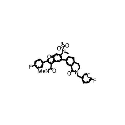 CNC(=O)c1c(-c2ccc(F)cc2)oc2cc(N(C)S(C)(=O)=O)c(-c3ccc4c(c3)C(=O)N(Cc3ccc(F)cc3)CC4)cc12